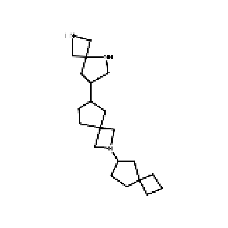 C1CC2(C1)CCC(N1CC3(CCC(C4CNC5(CNC5)C4)C3)C1)C2